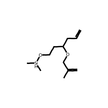 C=CCC(CCO[SiH](C)C)OCC(=C)C